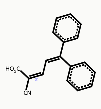 N#C/C(=C/C=C(c1ccccc1)c1ccccc1)C(=O)O